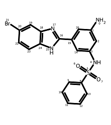 Nc1cc(NS(=O)(=O)c2ccccc2)cc(-c2nc3cc(Br)ccc3[nH]2)c1